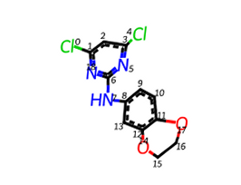 Clc1cc(Cl)nc(Nc2ccc3c(c2)OCCO3)n1